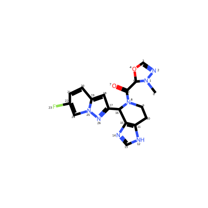 CN1N=COC1C(=O)N1CCc2[nH]cnc2C1c1cc2ccc(F)cn2n1